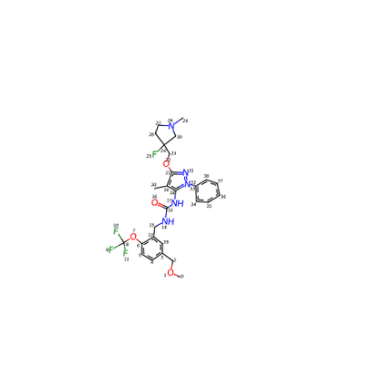 COCc1ccc(OC(F)(F)F)c(CNC(=O)Nc2c(C)c(OCC3(F)CCN(C)C3)nn2-c2ccccc2)c1